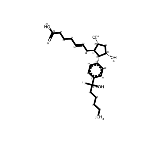 CCCCCC(O)(I)c1ccc([C@@H]2[C@@H](CC=CCCCC(=O)O)[C@H](Cl)C[C@@H]2O)cc1